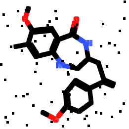 C=C(CC1CNc2cc(C)c(OC)cc2C(=O)N1)C1=CC=C(OC)CC1